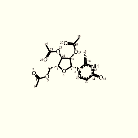 CC(=O)OC[C@H]1O[C@@H](n2ncc(=O)[nH]c2=S)[C@H](OC(C)=O)[C@@H]1OC(C)=O